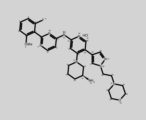 COc1cccc(F)c1-c1nccc(Nc2cc(N3CCC[C@H](N)C3)c(-c3cnn(CCN4CCOCC4)c3)cn2)n1.Cl